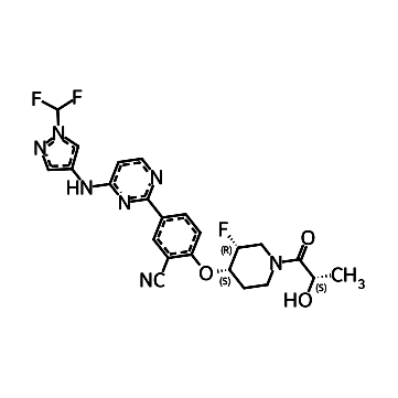 C[C@H](O)C(=O)N1CC[C@H](Oc2ccc(-c3nccc(Nc4cnn(C(F)F)c4)n3)cc2C#N)[C@H](F)C1